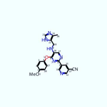 COc1ccc(Oc2nc(-c3cncc(C#N)c3)ncc2NCc2[nH]cnc2C)cc1